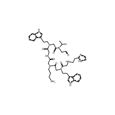 CC(C)N(CC=O)C(=O)CN(CCc1c[nH]c2ccccc12)C(=O)CNC(=O)CN(CCCN)C(=O)CN(CCc1c[nH]c2ccccc12)C(=O)CNCCc1ncc[nH]1